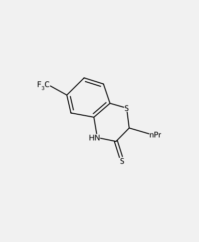 CCCC1Sc2ccc(C(F)(F)F)cc2NC1=S